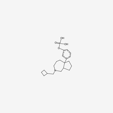 O=P(O)(O)Oc1cccc(C23CCCC2CN(CC2CCC2)CCC3)c1